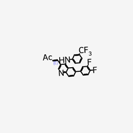 CC(=O)/C=C/c1cnc2ccc(-c3ccc(F)c(F)c3)cc2c1Nc1cccc(C(F)(F)F)c1